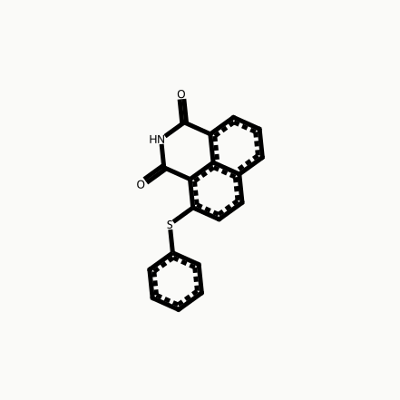 O=C1NC(=O)c2c(Sc3ccccc3)ccc3cccc1c23